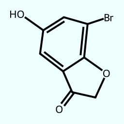 O=C1COc2c(Br)cc(O)cc21